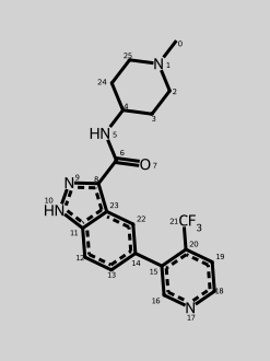 CN1CCC(NC(=O)c2n[nH]c3ccc(-c4cnccc4C(F)(F)F)cc23)CC1